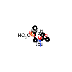 CC(C)(C)c1ccc(CCC(CC2CCCCC2)C(C(=O)O)S(=O)(=O)CC(=O)O)cc1NC(=O)CC1c2ccccc2Oc2ccccc21